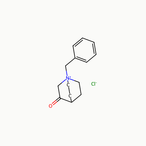 O=C1C[N+]2(Cc3ccccc3)CCC1CC2.[Cl-]